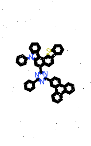 c1ccc(-c2nc(-c3ccc4c5ccccc5c5ccccc5c4c3)nc(-c3cc4c(c5ccccc5n4-c4ccccc4)c4c3ccc3c5ccccc5sc34)n2)cc1